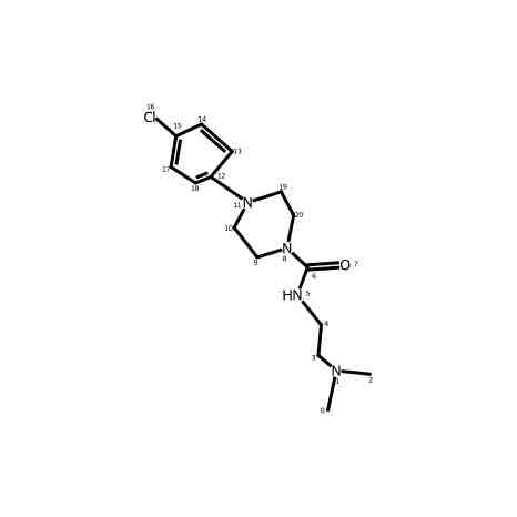 CN(C)CCNC(=O)N1CCN(c2ccc(Cl)cc2)CC1